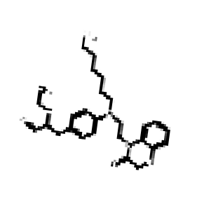 CCCCCCCN(CCN1C(=O)COc2ccccc21)c1ccc(CC(C=O)OCC)cc1